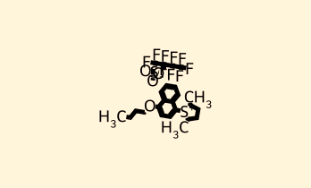 CCCCOc1ccc([S+]2C(C)CCC2C)c2ccccc12.O=S(=O)([O-])C(F)(F)C(F)(F)C(F)(F)C(F)(F)F